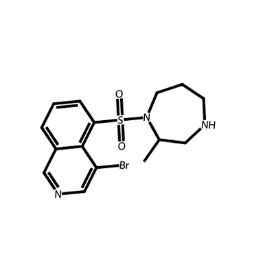 CC1CNCCCN1S(=O)(=O)c1cccc2cncc(Br)c12